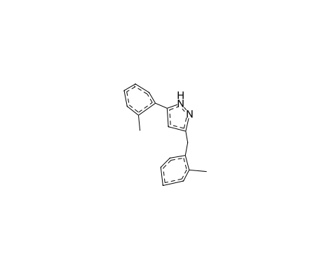 Cc1ccccc1Cc1cc(-c2ccccc2C)[nH]n1